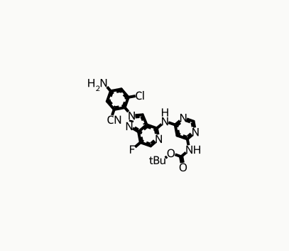 CC(C)(C)OC(=O)Nc1cc(Nc2ncc(F)c3nn(-c4c(Cl)cc(N)cc4C#N)cc23)ncn1